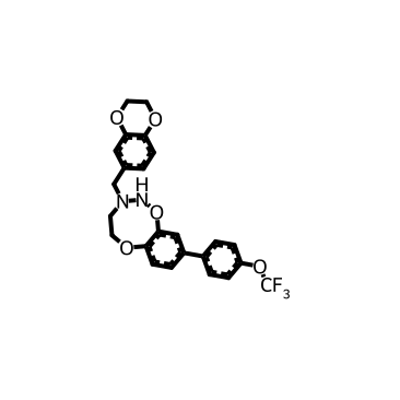 FC(F)(F)Oc1ccc(-c2ccc3c(c2)ONN(Cc2ccc4c(c2)OCCO4)CCO3)cc1